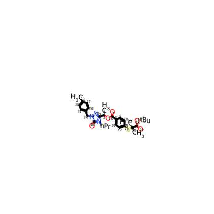 CCCn1c([C@H](C)OC(=O)c2ccc(SC(C)(C)C(=O)OC(C)(C)C)cc2)nn(Cc2ccc(C)cc2)c1=O